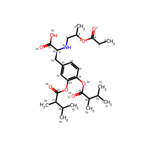 CCC(=O)OC(C)CN[C@@H](Cc1ccc(OC(=O)C(C)C(C)C)c(OC(=O)C(C)C(C)C)c1)C(=O)O